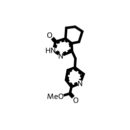 COC(=O)c1ccc(Cc2n[nH]c(=O)c3c2CCCC3)cn1